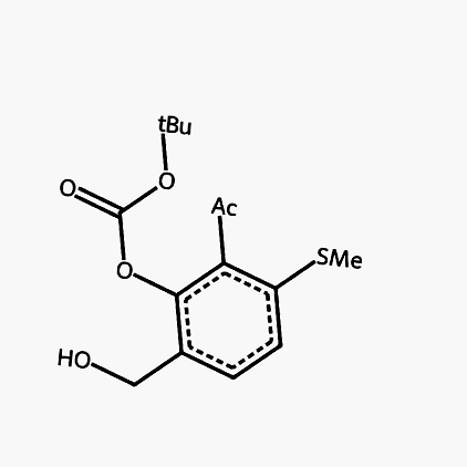 CSc1ccc(CO)c(OC(=O)OC(C)(C)C)c1C(C)=O